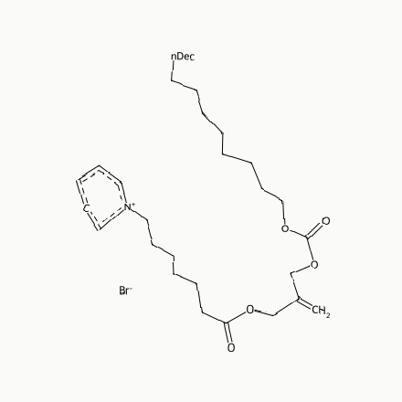 C=C(COC(=O)CCCCCC[n+]1ccccc1)COC(=O)OCCCCCCCCCCCCCCCCCC.[Br-]